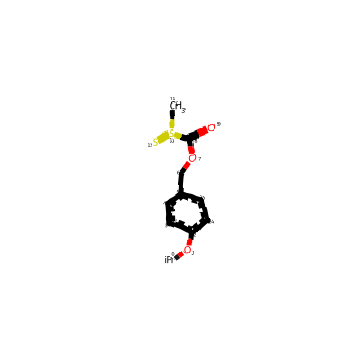 CC(C)Oc1ccc(COC(=O)S(C)=S)cc1